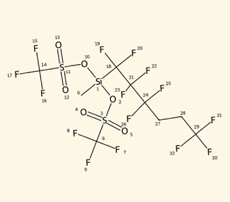 C[Si](OS(=O)(=O)C(F)(F)F)(OS(=O)(=O)C(F)(F)F)C(F)(F)C(F)(F)C(F)(F)CCC(F)(F)F